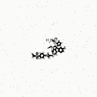 CCNCC(c1cccc(F)c1)(C1CCN(CC2CN(c3ccc(S(=O)(=O)C4CC4)cc3)C2)CC1)[C@H]1CCC[C@@H]1OC(N)=O